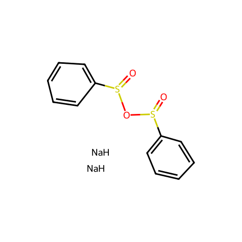 O=S(OS(=O)c1ccccc1)c1ccccc1.[NaH].[NaH]